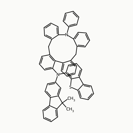 CC1(C)c2ccccc2-c2ccc(N(c3cccc4c3-c3ccccc3Cc3ccccc3N(c3ccccc3)c3ccccc3C4)c3cccc4c3sc3ccccc34)cc21